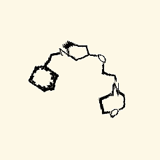 c1ccc(CN2CCC(OCCN3CCOCC3)C2)cc1